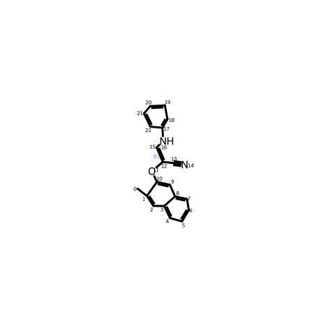 Cc1cc2ccccc2cc1O/C(C#N)=C/Nc1ccccc1